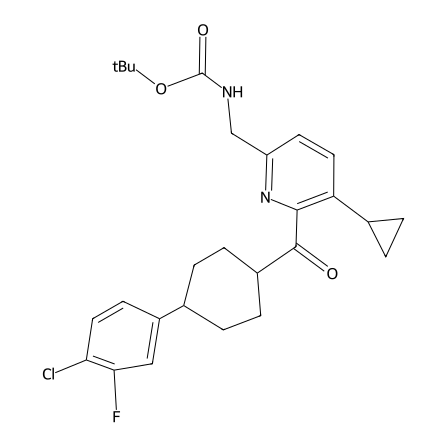 CC(C)(C)OC(=O)NCc1ccc(C2CC2)c(C(=O)C2CCC(c3ccc(Cl)c(F)c3)CC2)n1